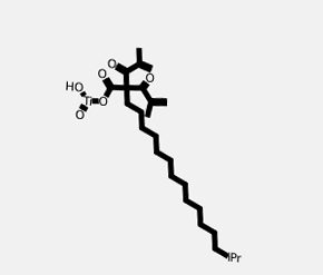 C=C(C)C(=O)C(CCCCCCCCCCCCCC(C)C)(C(=O)[O][Ti](=[O])[OH])C(=O)C(=C)C